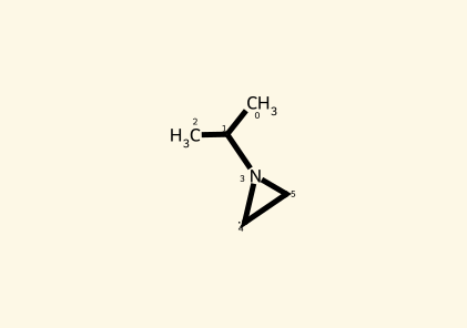 CC(C)N1[CH]C1